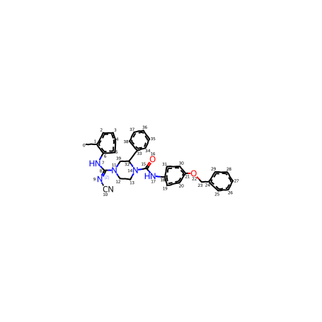 Cc1ccccc1N/C(=N/C#N)N1CCN(C(=O)Nc2ccc(OCc3ccccc3)cc2)C(c2ccccc2)C1